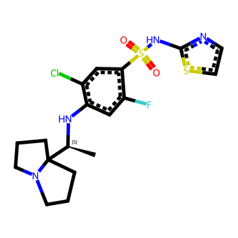 C[C@H](Nc1cc(F)c(S(=O)(=O)Nc2nccs2)cc1Cl)C12CCCN1CCC2